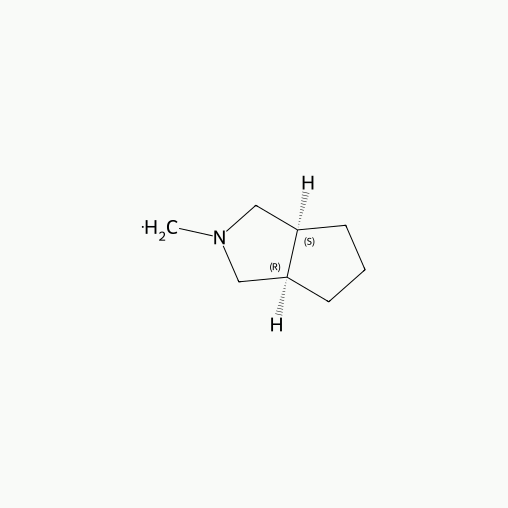 [CH2]N1C[C@H]2CCC[C@H]2C1